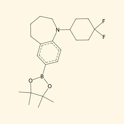 CC1(C)OB(c2ccc3c(c2)CCCCN3C2CCC(F)(F)CC2)OC1(C)C